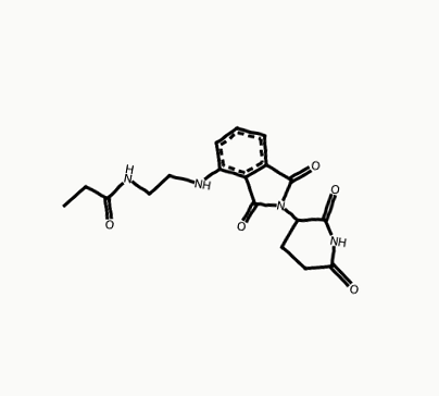 CCC(=O)NCCNc1cccc2c1C(=O)N(C1CCC(=O)NC1=O)C2=O